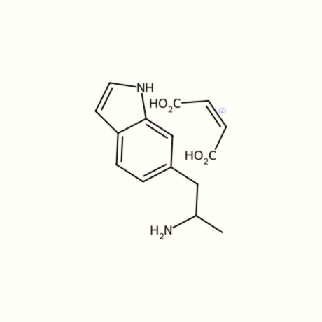 CC(N)Cc1ccc2cc[nH]c2c1.O=C(O)/C=C\C(=O)O